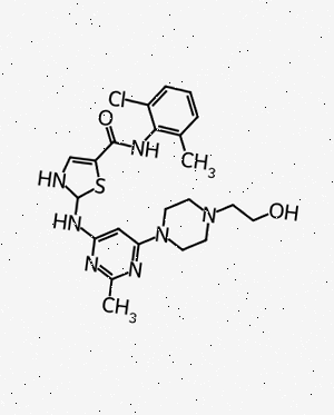 Cc1nc(NC2NC=C(C(=O)Nc3c(C)cccc3Cl)S2)cc(N2CCN(CCO)CC2)n1